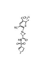 Cc1nc(N2CC(C(=O)NS(=O)(=O)c3ccsc3)C2)c(C#N)cc1C(=O)O